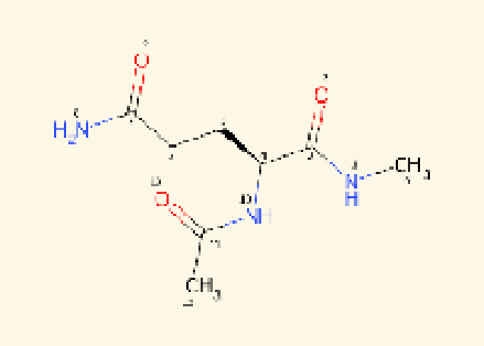 CNC(=O)[C@H](CCC(N)=O)NC(C)=O